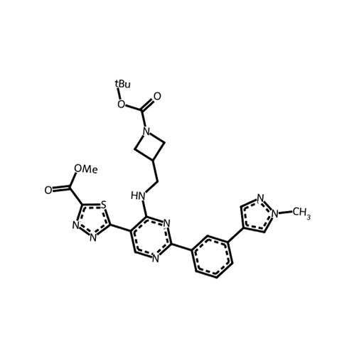 COC(=O)c1nnc(-c2cnc(-c3cccc(-c4cnn(C)c4)c3)nc2NCC2CN(C(=O)OC(C)(C)C)C2)s1